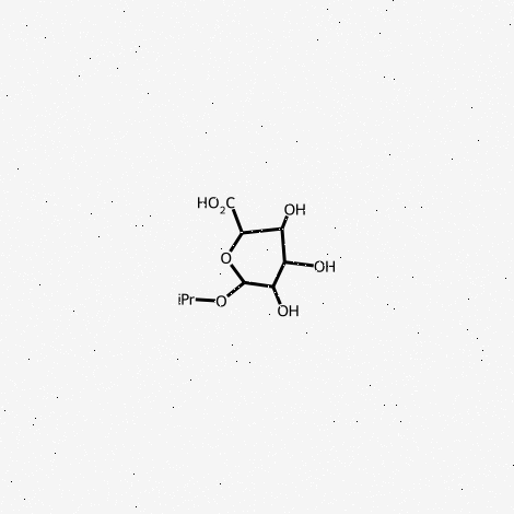 CC(C)OC1OC(C(=O)O)C(O)C(O)C1O